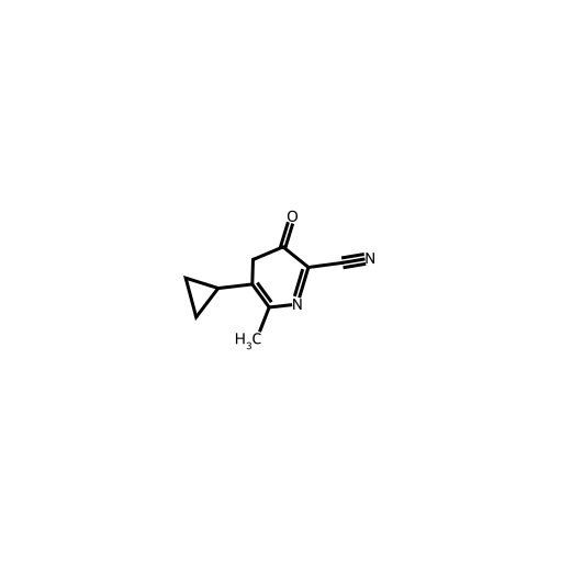 CC1=C(C2CC2)CC(=O)C(C#N)=N1